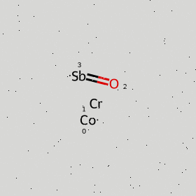 [Co].[Cr].[O]=[Sb]